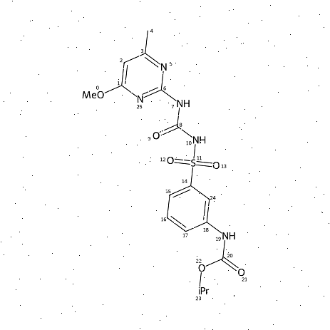 COc1cc(C)nc(NC(=O)NS(=O)(=O)c2cccc(NC(=O)OC(C)C)c2)n1